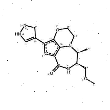 COC[C@H]1NC(=O)c2sc(C3=CNNC3)c3c2N(CCO3)[C@H]1C